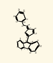 [C]1=C(C2c3ccccc3-c3ccccc32)C=C/C1=C/Cc1ccccc1